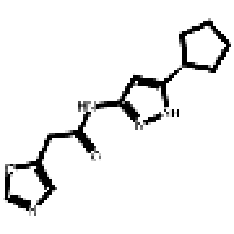 O=C(Cc1cnco1)Nc1cc([C@H]2C[CH]CC2)[nH]n1